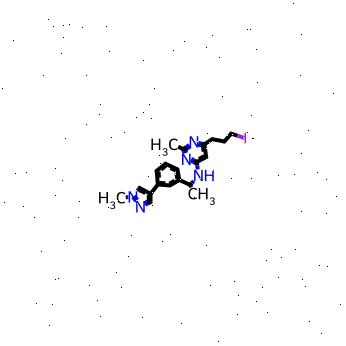 Cc1nc(CCCI)cc(NC(C)c2cccc(-c3cnn(C)c3)c2)n1